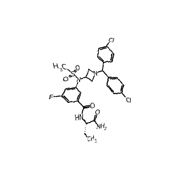 CC[C@H](NC(=O)c1cc(F)cc(N(C2CN(C(c3ccc(Cl)cc3)c3ccc(Cl)cc3)C2)S(C)(=O)=O)c1)C(N)=O